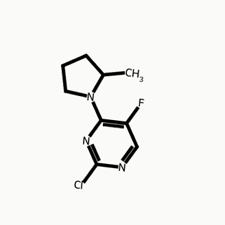 CC1CCCN1c1nc(Cl)ncc1F